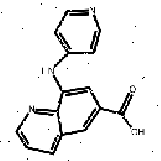 O=C(O)c1cc(Nc2ccncc2)c2ncccc2c1